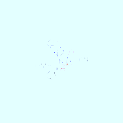 COc1ccccc1[C@H](CN1c2nc(-c3ncco3)n(C)c2C(=O)N(C(C)(C)CC#N)S1(=O)=O)OC1CCCCC1